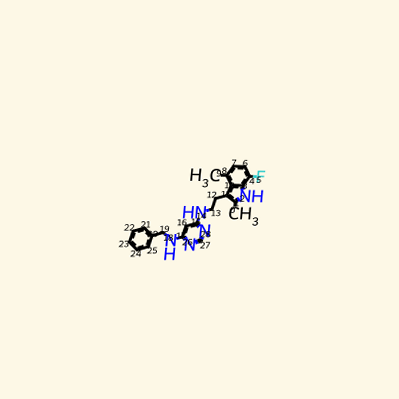 Cc1[nH]c2c(F)ccc(C)c2c1CCNc1cc(NCc2ccccc2)ncn1